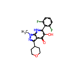 Cn1nc(C2CCOCC2)c2c(=O)c(O)c(-c3c(F)cccc3F)[nH]c21